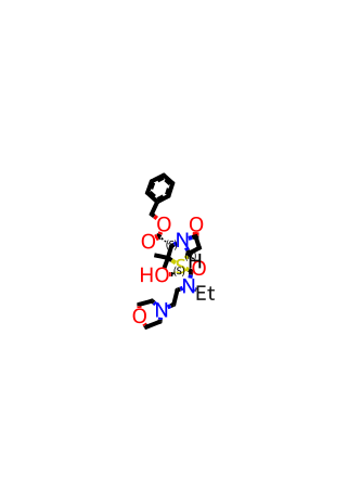 CCN(CCN1CCOCC1)C(=O)[S@]1(CO)[C@@H]2CC(=O)N2[C@@H](C(=O)OCc2ccccc2)C1(C)C